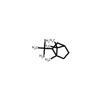 BC(B)(C)C1CC2CCC1(C)C2(C)C